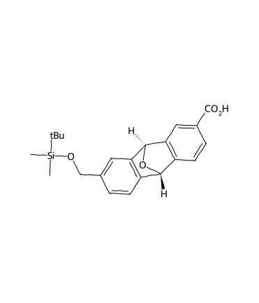 CC(C)(C)[Si](C)(C)OCc1ccc2c(c1)[C@@H]1O[C@@H]2c2ccc(C(=O)O)cc21